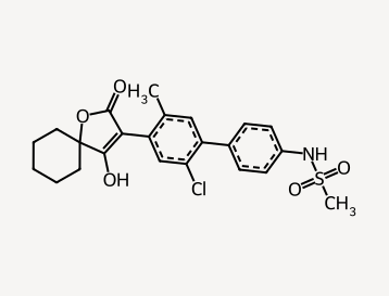 Cc1cc(-c2ccc(NS(C)(=O)=O)cc2)c(Cl)cc1C1=C(O)C2(CCCCC2)OC1=O